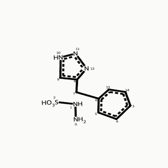 NNS(=O)(=O)O.c1ccc(Cc2c[nH]nn2)cc1